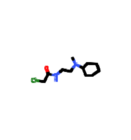 CN(CCNC(=O)CCl)C1CCCCC1